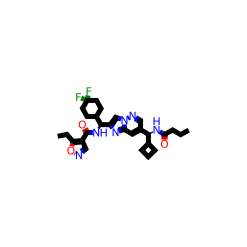 CCCC(=O)N[C@@H](c1cnn2cc([C@@H](NC(=O)c3cnoc3CC)C3CCC(F)(F)CC3)nc2c1)C1CCC1